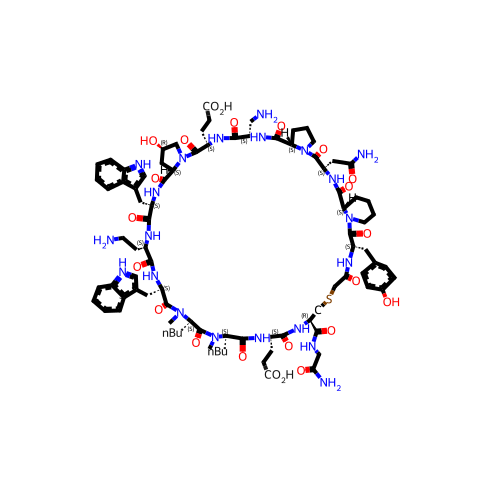 CCCC[C@H]1C(=O)N(C)[C@@H](CCCC)C(=O)N[C@@H](CCC(=O)O)C(=O)N[C@H](C(=O)NCC(N)=O)CSCC(=O)N[C@@H](Cc2ccc(O)cc2)C(=O)N2CCCC[C@H]2C(=O)N[C@@H](CC(N)=O)C(=O)N2CCC[C@H]2C(=O)N[C@@H](CN)C(=O)N[C@@H](CCC(=O)O)C(=O)N2C[C@H](O)C[C@H]2C(=O)N[C@@H](Cc2c[nH]c3ccccc23)C(=O)N[C@@H](CCN)C(=O)N[C@@H](Cc2c[nH]c3ccccc23)C(=O)N1C